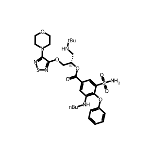 CCCCNc1cc(C(=O)O[C@@H](CNC(C)(C)C)COc2nsnc2N2CCOCC2)cc(S(N)(=O)=O)c1Oc1ccccc1